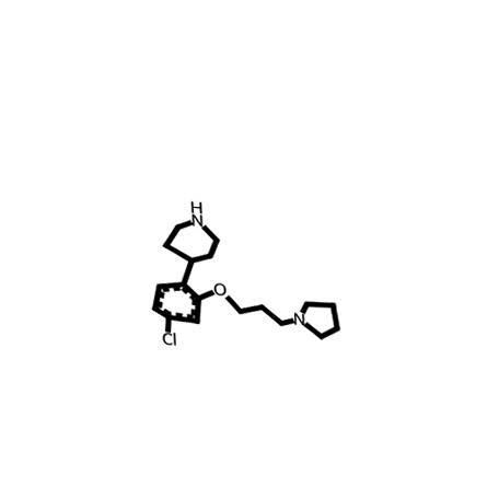 Clc1ccc(C2CCNCC2)c(OCCCN2CCCC2)c1